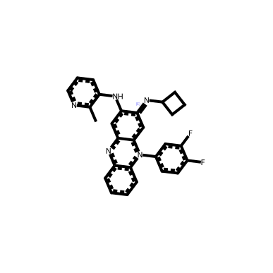 Cc1ncccc1Nc1cc2nc3ccccc3n(-c3ccc(F)c(F)c3)c-2c/c1=N\C1CCC1